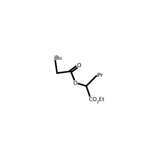 CCOC(=O)C(OC(=O)CC(C)CC)C(C)C